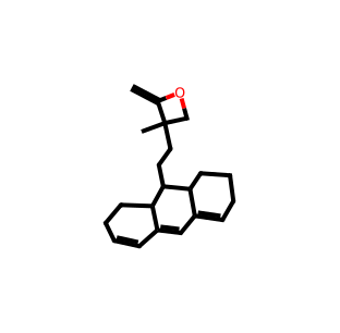 C=C1OCC1(C)CCC1C2CCC=CC2=CC2=CCCCC21